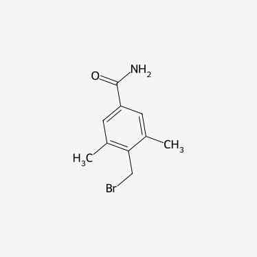 Cc1cc(C(N)=O)cc(C)c1CBr